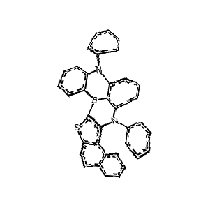 c1ccc(N2c3ccccc3B3c4sc5ccc6ccccc6c5c4N(c4ccccc4)c4cccc2c43)cc1